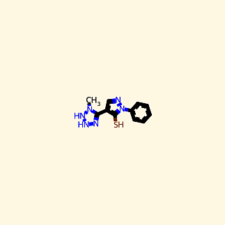 CN1NNN=C1c1cnn(-c2ccccc2)c1S